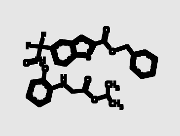 CC(C)OC(=O)CNc1ccccc1O[PH](=O)C(F)(F)c1ccc2sc(C(=O)OCc3ccccc3)cc2c1